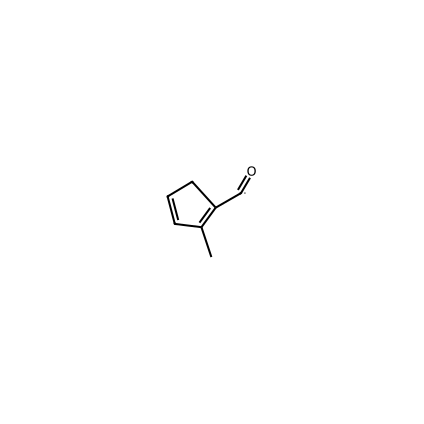 CC1=C([C]=O)CC=C1